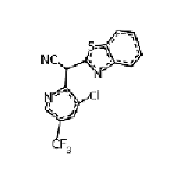 N#CC(c1nc2ccccc2s1)c1ncc(C(F)(F)F)cc1Cl